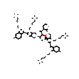 C[Si](C)(C)CCOCn1c(-c2nn(COCC[Si](C)(C)C)c3cc(Br)ccc23)nc2c1CN(c1nnccc1C(=O)c1ccnnc1N1Cc3nc(-c4nn(COCC[Si](C)(C)C)c5cc(Br)ccc45)n(COCC[Si](C)(C)C)c3C1)C2